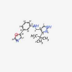 CC(C)(C)c1n[nH]cc1CNc1cccc(-c2cnco2)c1